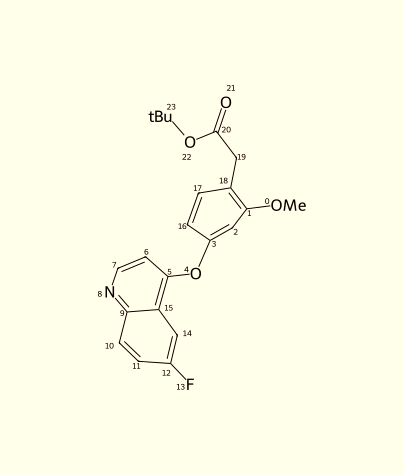 COc1cc(Oc2ccnc3ccc(F)cc23)ccc1CC(=O)OC(C)(C)C